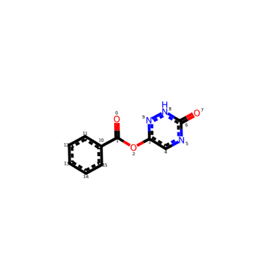 O=C(Oc1cnc(=O)[nH]n1)c1ccccc1